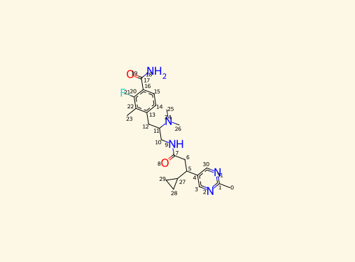 Cc1ncc(C(CC(=O)NCC(Cc2ccc(C(N)=O)c(F)c2C)N(C)C)C2CC2)cn1